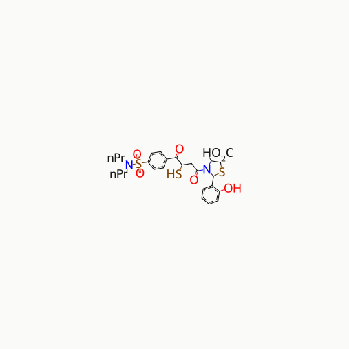 CCCN(CCC)S(=O)(=O)c1ccc(C(=O)C(S)CC(=O)N2C(C(=O)O)CSC2c2ccccc2O)cc1